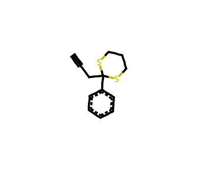 C#CCC1(c2ccccc2)SCCCS1